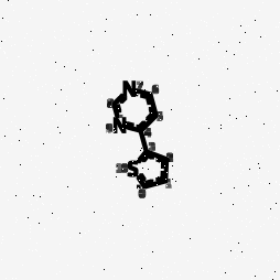 [c]1ccc(-c2ccncn2)s1